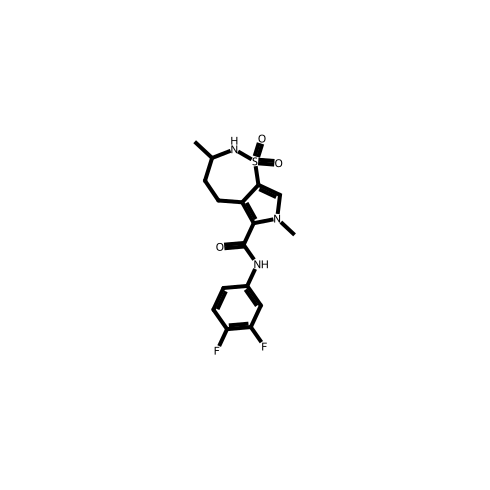 CC1CCc2c(cn(C)c2C(=O)Nc2ccc(F)c(F)c2)S(=O)(=O)N1